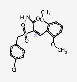 COc1cccc(OC)c1/C=C(\C(N)=O)S(=O)(=O)Cc1ccc(Cl)cc1